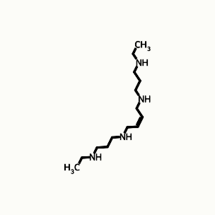 CCNCCCNC/C=C\CNCCCNCC